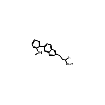 CCCCCCCCC(CC)CCc1ccc2cc(-c3ccccc3[SiH](C)C)ccc2c1